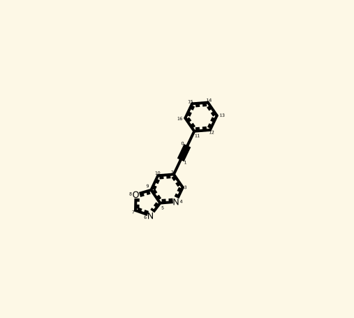 C(#Cc1cnc2ncoc2c1)c1ccccc1